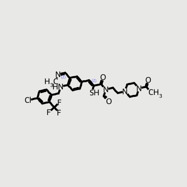 C/N=C\c1cc(/C=C(\S)C(=O)N(C=O)CCN2CCN(C(C)=O)CC2)ccc1NCc1ccc(Cl)cc1C(F)(F)F